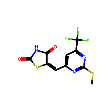 CSc1nc(C=C2SC(=O)NC2=O)cc(C(F)(F)F)n1